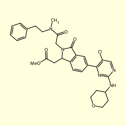 COC(=O)CC1c2ccc(-c3nc(NC4CCOCC4)ncc3Cl)cc2C(=O)N1CC(=O)N(C)CCc1ccccc1